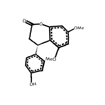 COc1cc(OC)c2c(c1)OC(=O)C[C@H]2c1ccc(O)cc1